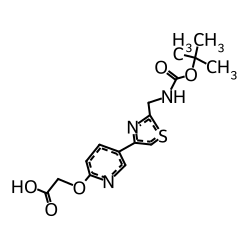 CC(C)(C)OC(=O)NCc1nc(-c2ccc(OCC(=O)O)nc2)cs1